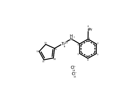 CC(C)c1ccccc1[NH][Ti+2][C]1=CC=CC1.[Cl-].[Cl-]